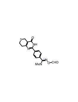 CN/C(=N\OC=O)c1ccc(-c2nc3c(c(=O)[nH]2)CSCC3)cc1